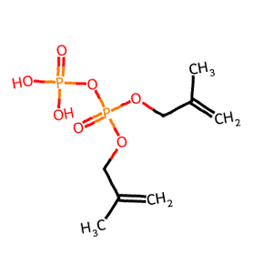 C=C(C)COP(=O)(OCC(=C)C)OP(=O)(O)O